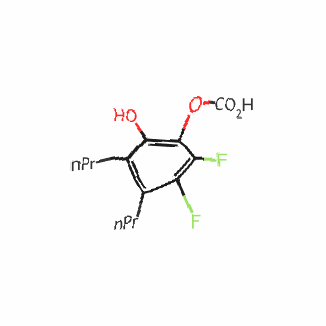 CCCc1c(O)c(OC(=O)O)c(F)c(F)c1CCC